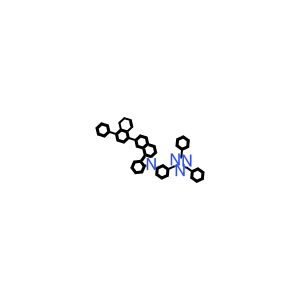 C1=Cc2c(-c3ccc4ccc5c(c4c3)c3ccccc3n5-c3cccc(-c4nc(-c5ccccc5)nc(-c5ccccc5)n4)c3)ccc(-c3ccccc3)c2CC1